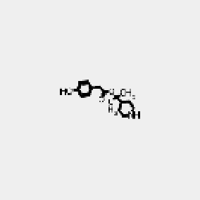 CC(C)(OC(=O)Cc1ccc(O)cc1)C1CCNCC1